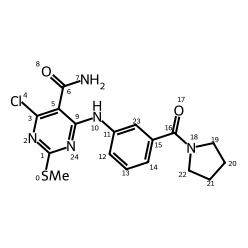 CSc1nc(Cl)c(C(N)=O)c(Nc2cccc(C(=O)N3CCCC3)c2)n1